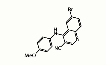 COc1ccc(Nc2c(C#N)cnc3ccc(Br)cc23)cc1